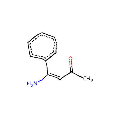 CC(=O)/C=C(/N)c1ccccc1